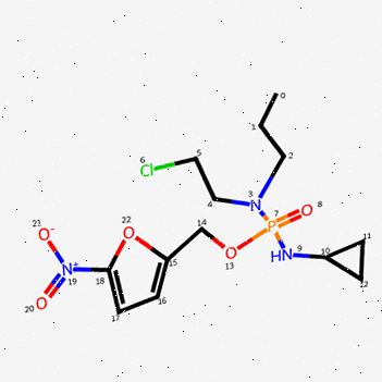 CCCN(CCCl)P(=O)(NC1CC1)OCc1ccc([N+](=O)[O-])o1